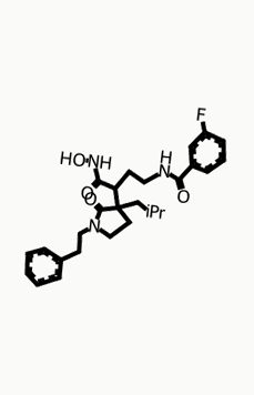 CC(C)CC1(C(CCNC(=O)c2cccc(F)c2)C(=O)NO)CCN(CCc2ccccc2)C1=O